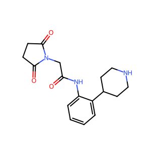 O=C(CN1C(=O)CCC1=O)Nc1ccccc1C1CCNCC1